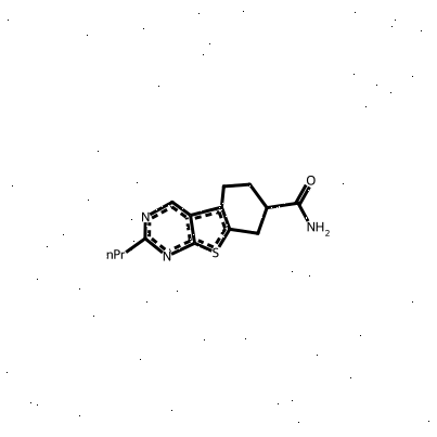 CCCc1ncc2c3c(sc2n1)CC(C(N)=O)CC3